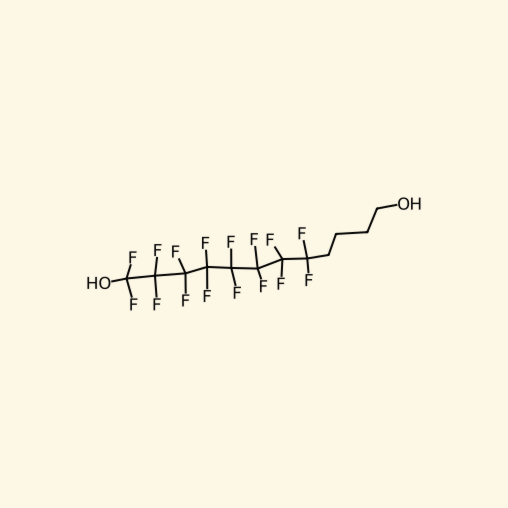 OCCCCC(F)(F)C(F)(F)C(F)(F)C(F)(F)C(F)(F)C(F)(F)C(F)(F)C(O)(F)F